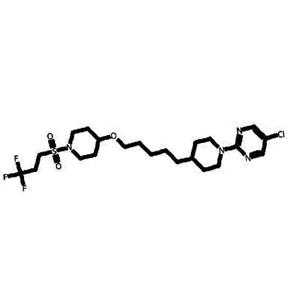 O=S(=O)(CCC(F)(F)F)N1CCC(OCCCCCC2CCN(c3ncc(Cl)cn3)CC2)CC1